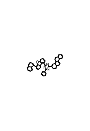 c1ccc(-c2nc(-c3ccc4ccc5c6ccccc6ccc5c4c3)nc(-c3cccc4oc5c(-c6cccc7ccccc67)cccc5c34)n2)cc1